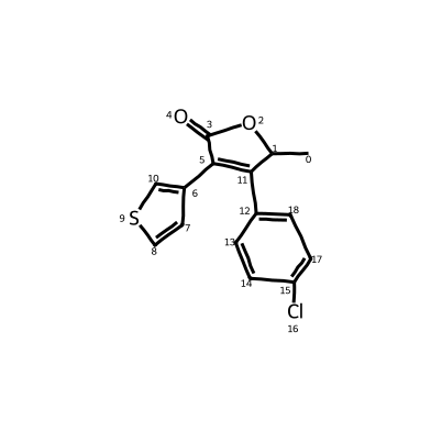 CC1OC(=O)C(c2ccsc2)=C1c1ccc(Cl)cc1